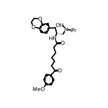 COc1ccc(C(=O)CCCCCC(=O)N[C@@H](CN(C)C(C)C)[C@@H](O)c2ccc3c(c2)OCCO3)cc1